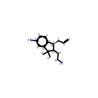 C=CC[C@@H]1c2ccc(I)cc2C(C)(C)C1CCI